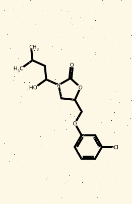 CC(C)CC(O)N1CC(COc2cccc(Cl)c2)OC1=O